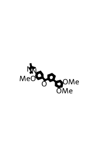 COc1cc(OC)cc(-c2cccc(C(=O)c3ccc(-n4cnc(C)c4)c(OC)c3)c2)c1